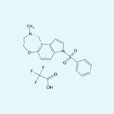 CN1CCOc2ccc3c(ccn3S(=O)(=O)c3ccccc3)c2C1.O=C(O)C(F)(F)F